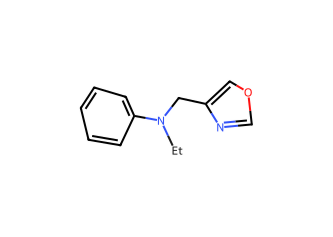 CCN(Cc1cocn1)c1ccccc1